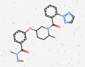 CON(C)C(=O)c1cccc(OC2CCC(C)N(C(=O)c3ccccc3-n3nccn3)C2)c1